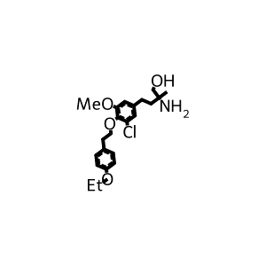 CCOc1ccc(CCOc2c(Cl)cc(CCC(C)(N)CO)cc2OC)cc1